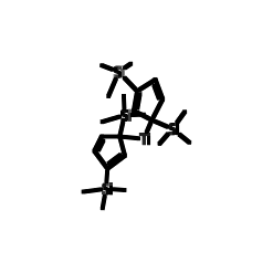 C[Si](C)(C)C1=C[C]([Ti][C]2([Si](C)(C)C)C=CC([Si](C)(C)C)=C2)([Si](C)(C)C)C=C1